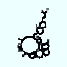 COC(=O)CCN1CCN2CCN(C[C@@]3(O)CCC[C@H](C)[C@@H](C)S(=O)(=O)NC(=O)c4ccc5c(c4)N(C[C@@H]4CC[C@H]43)C[C@@]3(CCCc4cc(Cl)ccc43)CO5)C[C@H]2C1